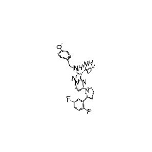 COc1ccc(CNc2nn3ccc(N4CCCC4c4cc(F)ccc4F)nc3c2C(N)=O)cc1